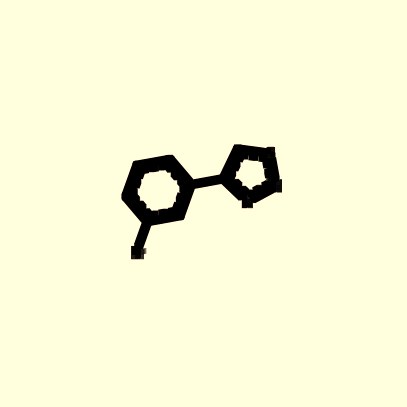 Brc1cccc(-c2csnn2)c1